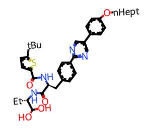 CCCCCCCOc1ccc(-c2cnc(-c3ccc(C[C@H](NC(=O)c4ccc(C(C)(C)C)s4)C(=O)N[C@@H](CC)C(O)O)cc3)nc2)cc1